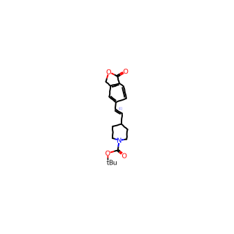 CC(C)(C)OC(=O)N1CCC(/C=C/c2ccc3c(c2)COC3=O)CC1